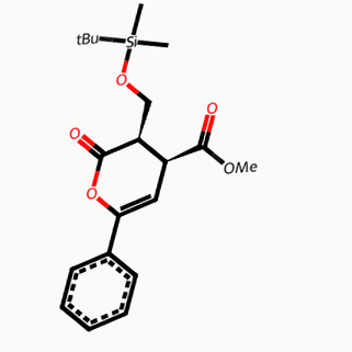 COC(=O)[C@H]1C=C(c2ccccc2)OC(=O)[C@H]1CO[Si](C)(C)C(C)(C)C